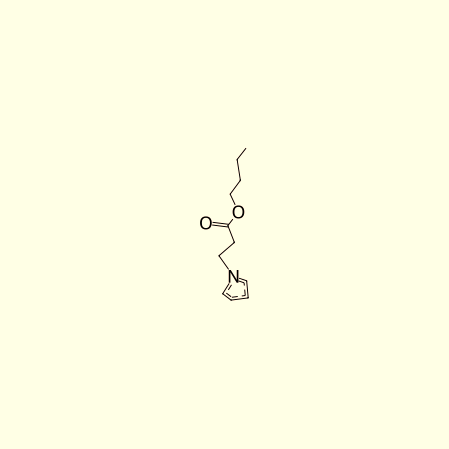 CCCCOC(=O)CCn1cccc1